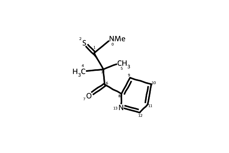 CNC(=S)C(C)(C)C(=O)c1ccccn1